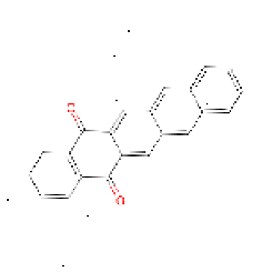 O=C1C2=C(CCC=C2)C(=O)c2cc3cc4ccccc4cc3cc21